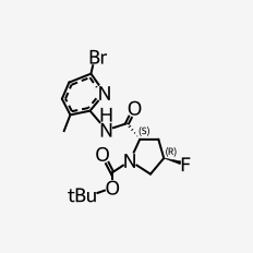 Cc1ccc(Br)nc1NC(=O)[C@@H]1C[C@@H](F)CN1C(=O)OC(C)(C)C